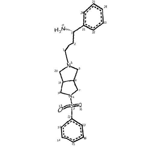 N[C@@H](CCN1CC2CN(S(=O)(=O)c3ccccc3)CC2C1)c1ccccc1